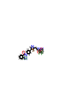 O=C(Nc1ccc(-c2cnc(CCNS(=O)(=O)C(F)(F)F)s2)cc1)c1ccccc1Cl